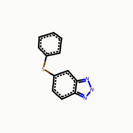 c1ccc(Sc2ccc3c(c2)=N[N]N=3)cc1